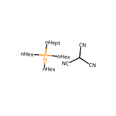 CCCCCCC[PH](CCCCCC)(CCCCCC)CCCCCC.N#CC(C#N)C#N